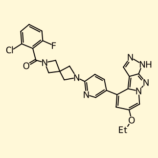 CCOc1cc(-c2ccc(N3CC4(CN(C(=O)c5c(F)cccc5Cl)C4)C3)nc2)c2c3cn[nH]c3nn2c1